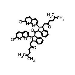 C=C(C)CCC(=O)CC1c2ccccc2C(C(=O)C2c3ccccc3C(CC(=O)CCC(=C)C)N2c2ccc3ccc(Cl)nc3n2)N1c1ccc2ccc(Cl)nc2n1